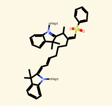 CCCCCCCN1C(=CC=CCCC/C(=C/S(=O)(=O)c2ccccc2)C(C)C2=[N+](CCCCCCC)c3ccccc3C2(C)C)C(C)(C)c2ccccc21